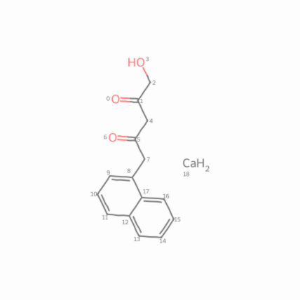 O=C(CO)CC(=O)Cc1cccc2ccccc12.[CaH2]